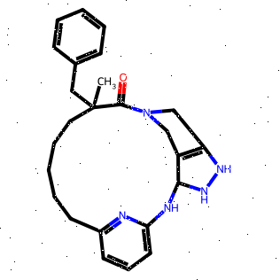 CC1(Cc2ccccc2)CCCCCc2cccc(n2)NC2NNC3=C2CN(C3)C1=O